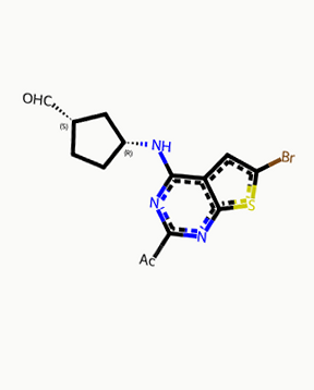 CC(=O)c1nc(N[C@@H]2CC[C@H](C=O)C2)c2cc(Br)sc2n1